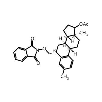 CC(=O)OC1CC[C@H]2[C@@H]3C[C@@H](CON4C(=O)c5ccccc5C4=O)c4cc(C)ccc4[C@H]3CC[C@]12C